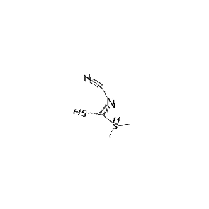 C[SH](C)C(S)=NC#N